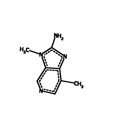 Cc1cncc2c1nc(N)n2C